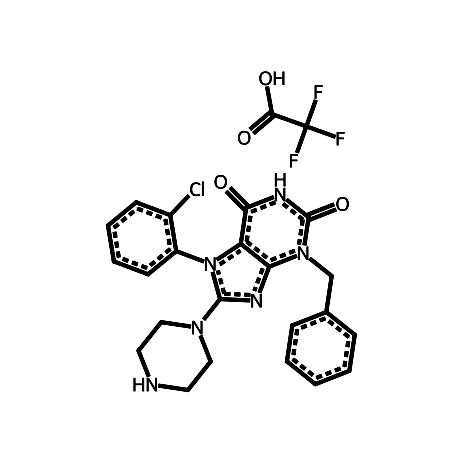 O=C(O)C(F)(F)F.O=c1[nH]c(=O)n(Cc2ccccc2)c2nc(N3CCNCC3)n(-c3ccccc3Cl)c12